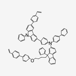 C=Cc1ccc(-c2ccc(OCCCCC3(c4ccccc4)c4ccccc4-c4ccc(N(c5ccc(-c6ccccc6)cc5)c5ccc(-c6ccc7c(c6)c6cc(-c8ccc(C=C)cc8)ccc6n7-c6ccccc6)cc5)cc43)cc2)cc1